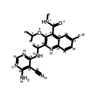 CNC(=O)c1c(OC(C)C)c(C(C)Nc2ncnc(N)c2C#N)nc2ccc(F)cc12